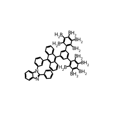 Bc1c(B)c(B)c(-c2cc(-c3c(B)c(B)c(B)c(B)c3B)cc(-c3c4ccccc4c(-c4cccc(-n5c(-c6ccccc6)nc6ccccc65)c4)c4ccccc34)c2)c(B)c1B